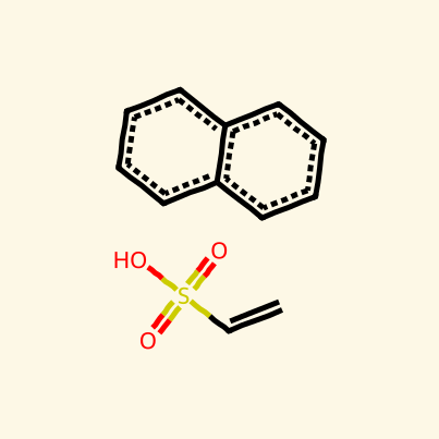 C=CS(=O)(=O)O.c1ccc2ccccc2c1